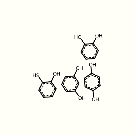 Oc1ccc(O)cc1.Oc1cccc(O)c1.Oc1ccccc1O.Oc1ccccc1S